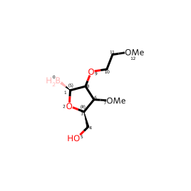 B[C@@H]1O[C@H](CO)C(OC)C1OCCOC